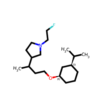 CC(CCO[C@@H]1CCC[C@H](C(C)C)C1)C1CCN(CCF)C1